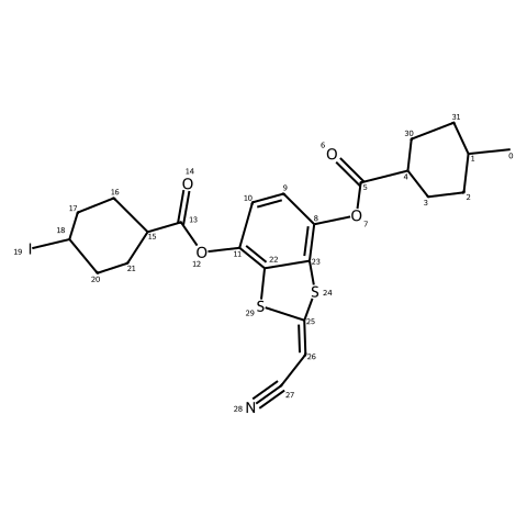 CC1CCC(C(=O)Oc2ccc(OC(=O)C3CCC(I)CC3)c3c2S/C(=C/C#N)S3)CC1